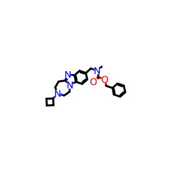 CN(Cc1ccc2c(c1)nc1n2CCN(C2CCC2)CC1)C(=O)OCc1ccccc1